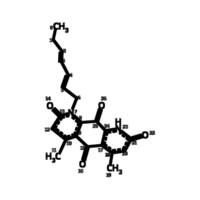 CC/C=C/C=C/Cn1c2c(c(C)cc1=O)C(=O)c1c(C)cc(=O)[nH]c1C2=O